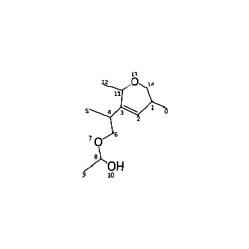 CC1C=C(C(C)COC(C)O)C(C)OC1